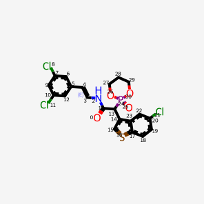 O=C(N/C=C/c1cc(Cl)cc(Cl)c1)C(c1csc2ccc(Cl)cc12)P1(=O)OCCCO1